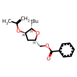 C=C(C)O[C@@H]1C[C@@H](COC(=O)c2ccccc2)O[C@H]1C(C)(C)C